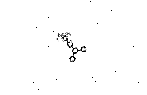 CC1(C)OB(c2ccc(-c3cc(-c4ccncc4)cc(-c4ccncc4)c3)cn2)OC1(C)C